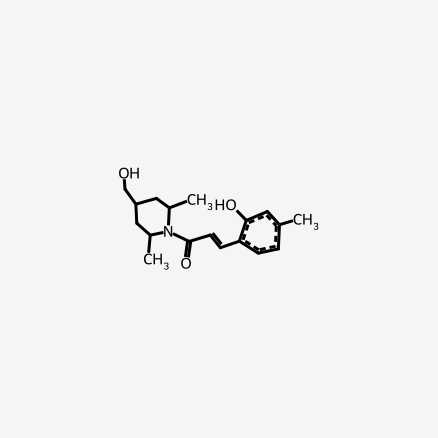 Cc1ccc(/C=C/C(=O)N2C(C)CC(CO)CC2C)c(O)c1